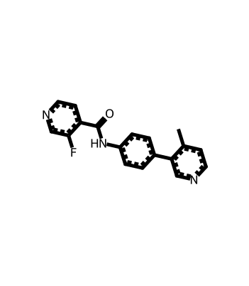 Cc1ccncc1-c1ccc(NC(=O)c2ccncc2F)cc1